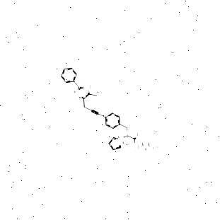 COC(=O)[C@H](Cc1ccc(C#CCc2nc(-c3ccccc3)oc2C)cc1)n1cccc1